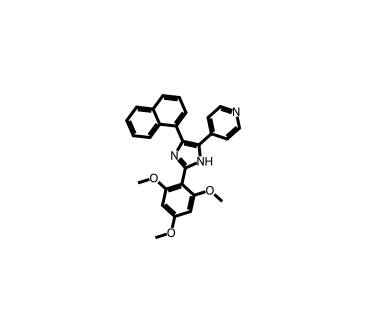 COc1cc(OC)c(-c2nc(-c3cccc4ccccc34)c(-c3ccncc3)[nH]2)c(OC)c1